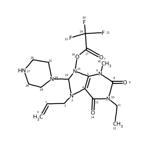 C=CCN1c2c(n(C)c(=O)n(CC)c2=O)N(OC(=O)C(F)(F)F)C1N1CCNCC1